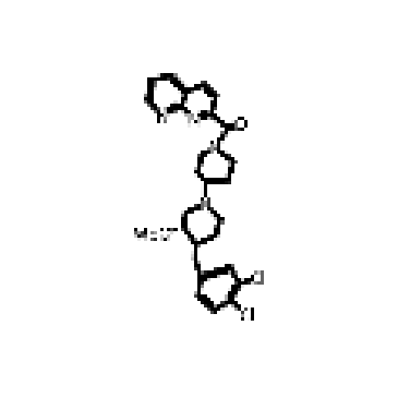 CO[C@@H]1CN(C2CCN(C(=O)c3ccc4cccnc4n3)CC2)CCC1Cc1ccc(Cl)c(Cl)c1